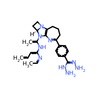 C=C/C=C(\N=C/C)NC(=C)N1C2=C(CCCC(c3ccc(/C(=N/N)NN)cc3)=N2)N2CC[C@@H]21